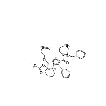 CC(=O)NCCOC[C@]1(OC(=O)C(F)(F)F)CCCC[C@H]1n1cnc(C(=O)N2CCNC[C@H]2Cc2ccccc2)c1-c1ccccc1